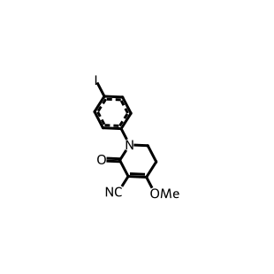 COC1=C(C#N)C(=O)N(c2ccc(I)cc2)CC1